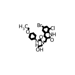 CCOc1ccc(NC(=O)N(CCO)Cc2cc3cc(Br)cc(Cl)c3[nH]c2=O)cc1